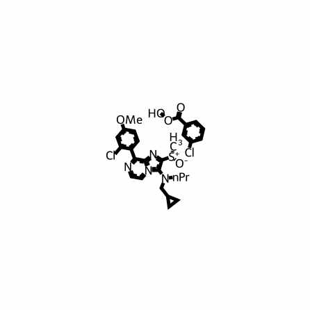 CCCN(CC1CC1)c1c([S+](C)[O-])nc2c(-c3ccc(OC)cc3Cl)nccn12.O=C(OO)c1cccc(Cl)c1